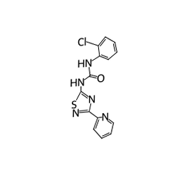 O=C(Nc1nc(-c2ccccn2)ns1)Nc1ccccc1Cl